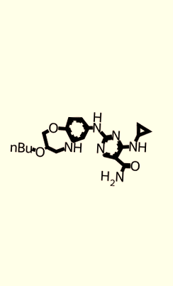 CCCCO[C@@H]1CNc2cc(Nc3ncc(C(N)=O)c(NC4CC4)n3)ccc2OC1